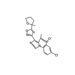 Cc1c2c(-c3noc(C4(C)CCCO4)n3)ncn2c2ccc(Cl)cc2[n+]1[O-]